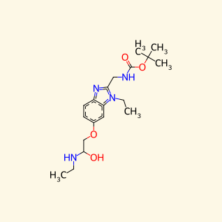 CCNC(O)COc1ccc2nc(CNC(=O)OC(C)(C)C)n(CC)c2c1